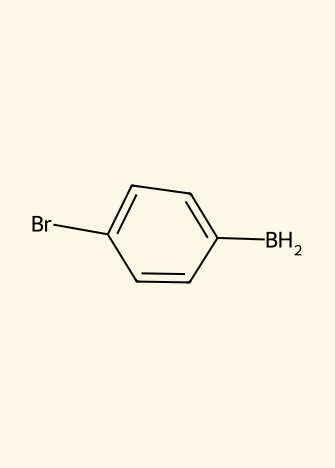 Bc1ccc(Br)cc1